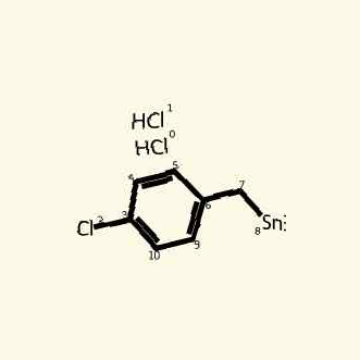 Cl.Cl.Clc1ccc([CH2][Sn])cc1